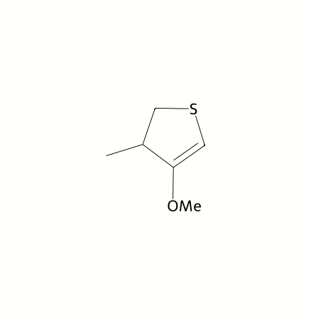 COC1=CSCC1C